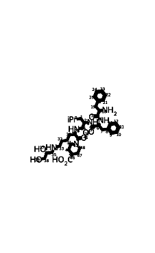 CC(C)CC(NC(=O)C(Cc1ccccc1)NC(=O)C(N)Cc1ccccc1)C(=O)NC(CCCCNCC(O)CO)C(=O)N1CCC(C(=O)O)CC1